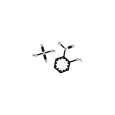 Cc1ccccc1[N+](=O)[O-].O=S(=O)(O)O